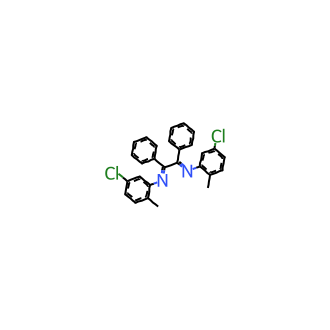 Cc1ccc(Cl)cc1N=C(C(=Nc1cc(Cl)ccc1C)c1ccccc1)c1ccccc1